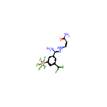 NC(=O)/C=C\N/N=C(\N)c1cc(C(F)F)cc(S(F)(F)(F)(F)F)c1